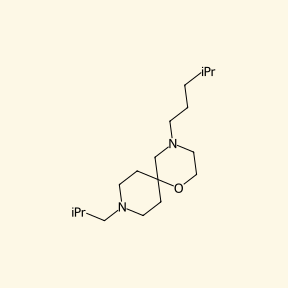 CC(C)CCCN1CCOC2(CCN(CC(C)C)CC2)C1